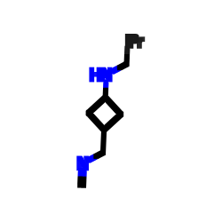 C=NCC1CC(NCC(C)C)C1